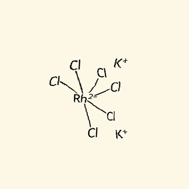 [Cl][Rh-2]([Cl])([Cl])([Cl])([Cl])[Cl].[K+].[K+]